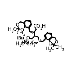 CC1(C)OCc2cccc(CN(CC(=O)O)CC(CO[Si](C)(C)C(C)(C)C)N(CC(=O)O)Cc3cccc4c3OC(C)(C)OC4)c2O1